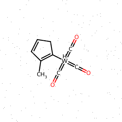 CC1=[C]([WH](=[C]=O)(=[C]=O)=[C]=O)CC=C1